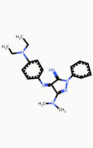 CCN(CC)c1ccc(N=C2C(=N)N(c3ccccc3)N=C2N(C)C)cc1